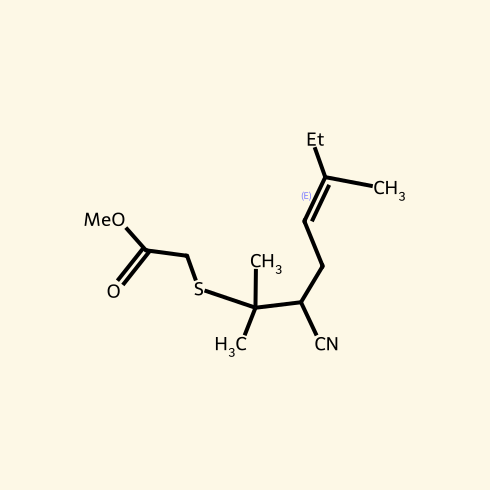 CC/C(C)=C/CC(C#N)C(C)(C)SCC(=O)OC